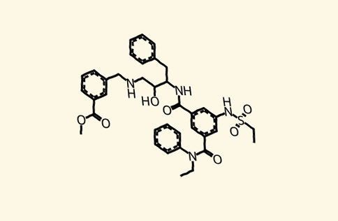 CCN(C(=O)c1cc(NS(=O)(=O)CC)cc(C(=O)NC(Cc2ccccc2)C(O)CNCc2cccc(C(=O)OC)c2)c1)c1ccccc1